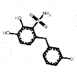 NS(=O)(=O)c1c(Cc2cccc(Cl)c2)ccc(O)c1O